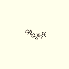 CC(=O)Oc1cccc2c1cc(C)n2C(=O)c1ccc(OC[C@@H]2Cc3ccccc3N2C)cc1